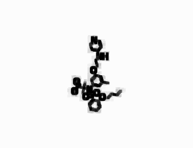 CCCCOc1ccccc1S(=O)(=O)N(c1cc(C)cc(OCCNc2ccncc2)c1)C(C)(C)P(=O)=O